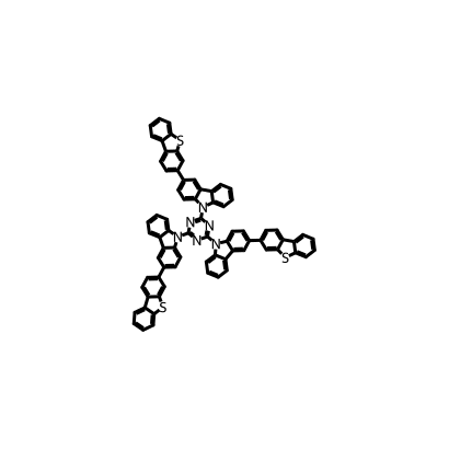 c1ccc2c(c1)sc1cc(-c3ccc4c(c3)c3ccccc3n4-c3nc(-n4c5ccccc5c5cc(-c6ccc7c(c6)sc6ccccc67)ccc54)nc(-n4c5ccccc5c5cc(-c6ccc7c(c6)sc6ccccc67)ccc54)n3)ccc12